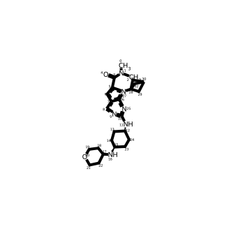 CN(C)C(=O)c1cc2cnc(N[C@H]3CC[C@H](NC4CCOCC4)CC3)nc2n1C12CC(C1)C2